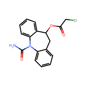 NC(=O)N1c2ccccc2CC(OC(=O)CCl)c2ccccc21